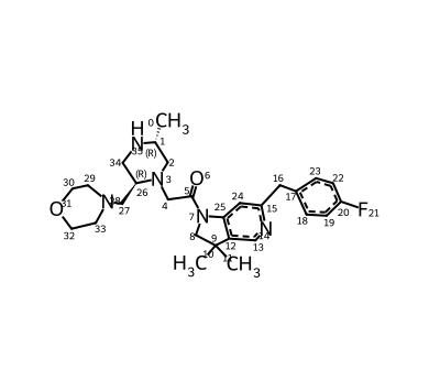 C[C@@H]1CN(CC(=O)N2CC(C)(C)c3cnc(Cc4ccc(F)cc4)cc32)[C@@H](CN2CCOCC2)CN1